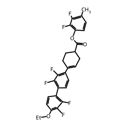 CCOc1ccc(-c2ccc(C3=CCC(C(=O)Oc4ccc(C)c(F)c4F)CC3)c(F)c2F)c(F)c1F